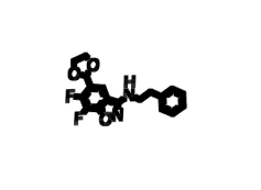 Fc1c(C2OCCO2)cc2c(NCCc3ccccc3)noc2c1F